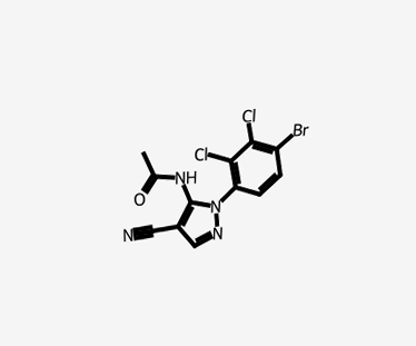 CC(=O)Nc1c(C#N)cnn1-c1ccc(Br)c(Cl)c1Cl